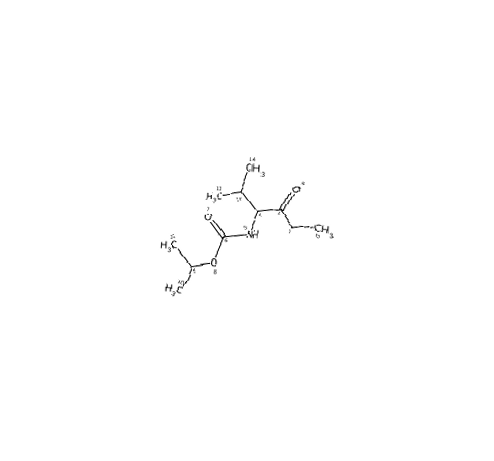 CCC(=O)C(NC(=O)OC(C)C)C(C)C